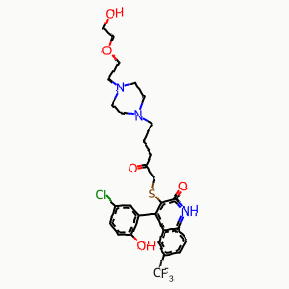 O=C(CCCN1CCN(CCOCCO)CC1)CSc1c(-c2cc(Cl)ccc2O)c2cc(C(F)(F)F)ccc2[nH]c1=O